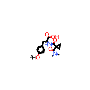 [2H]Oc1ccc(C[C@H](NC(=O)C2(C(=O)N(C)C)CC2)C(=O)O)cc1